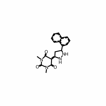 CN1C(=O)C(=C2CC(c3cccc4ccccc34)NN2)C(=O)N(C)C1=O